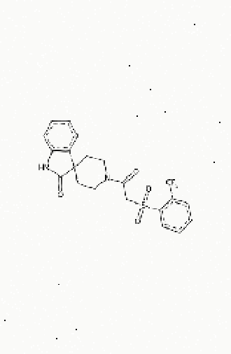 O=C(CS(=O)(=O)c1ccccc1C(F)(F)F)N1CCC2(CC1)C(=O)Nc1ccccc12